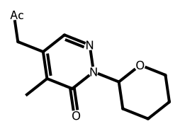 CC(=O)Cc1cnn(C2CCCCO2)c(=O)c1C